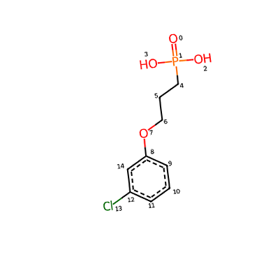 O=P(O)(O)CCCOc1cccc(Cl)c1